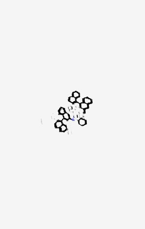 COc1ccc2ccccc2c1-c1c(O)c(/C=N/C2CCCC[C@H]2NCc2cc3ccccc3c(-c3c(OC)ccc4ccccc34)c2O)cc2ccccc12